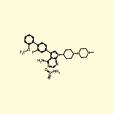 CN1CCN(C2CCC(n3cc(-c4ccc(-c5ccccc5OC(F)(F)F)c(F)c4)c4c(N)ncnc43)CC2)CC1.N[SH](=O)=O